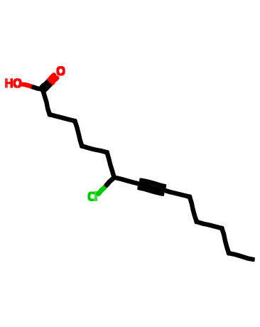 CCCCCC#CC(Cl)CCCCC(=O)O